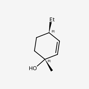 CC[C@H]1C=C[C@](C)(O)CC1